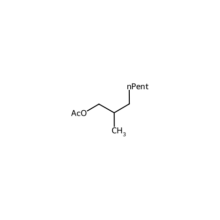 CCCCCCC(C)COC(C)=O